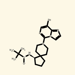 CC(C)(C)[S+]([O-])N[C@@H]1CCCC12CCN(c1ncc(S)c3nccn13)CC2